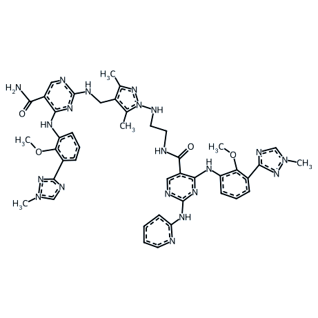 COc1c(Nc2nc(NCc3c(C)nn(NCCNC(=O)c4cnc(Nc5ccccn5)nc4Nc4cccc(-c5ncn(C)n5)c4OC)c3C)ncc2C(N)=O)cccc1-c1ncn(C)n1